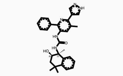 Cc1cc(NC(=O)N[C@@]2(C)c3ccccc3C(C)(C)C[C@H]2O)c(-c2ccccc2)nc1-c1cn[nH]c1